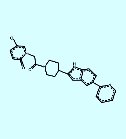 O=C(Cn1cc(Cl)ccc1=O)N1CCC(c2cc3cc(-c4ccccn4)ccc3[nH]2)CC1